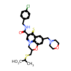 CC(SCC1Cn2cc(C(=O)NCc3ccc(Cl)cc3)c(=S)c3cc(CN4CCOCC4)cc(c32)O1)C(=O)O